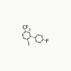 Fc1ccc(-c2cc(C(F)(F)F)ccc2I)cc1